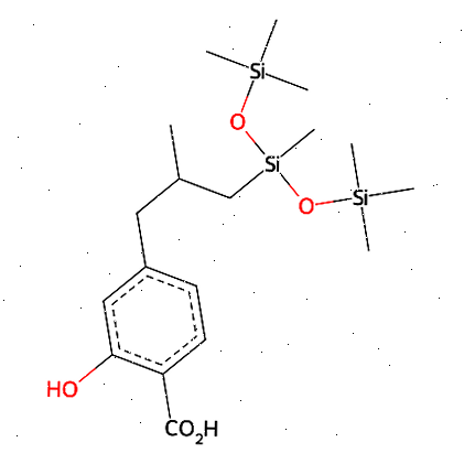 CC(Cc1ccc(C(=O)O)c(O)c1)C[Si](C)(O[Si](C)(C)C)O[Si](C)(C)C